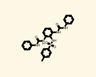 Cc1ccc(S(=O)(=O)Nc2c(NC(=O)Nc3ccccc3)cccc2NC(=O)Nc2ccccc2)cc1